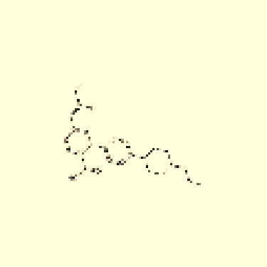 CCCC1CCC(c2ccc(-c3cc(C=C(F)CC)ccc3C(=O)O)cc2)CC1